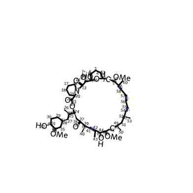 CO[C@H]1C[C@@H]2CC[C@@H](C)[C@@](O)(O2)C(=O)C(=O)N2CCCCC2C(=O)O[C@H]([C@H](C)C[C@@H]2CC[C@@H](O)[C@H](OC)C2)CC(=O)[C@H](C)/C=C(\C)[C@@H](O)[C@@H](OC)C[C@H](C)C[C@H](C)/C=C/C=C/C=C/1C